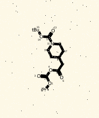 CC(C)OC(=O)OC(=O)CC1CCN(C(=O)OC(C)(C)C)CC1